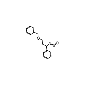 O=S=NC(CCOCc1ccccc1)c1ccccc1